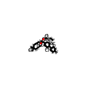 C=CC(=O)N1C2CN(c3nc(=O)n4c5c(c(-c6ccc(F)cc6F)c(C)cc35)SCC4)CC1CC1(COC1)C2